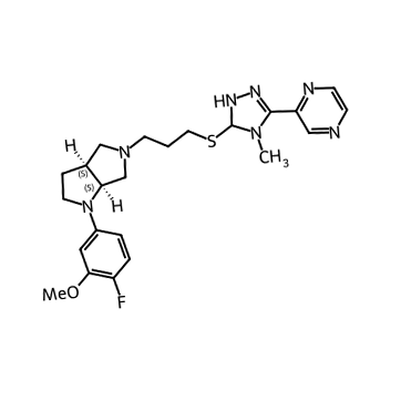 COc1cc(N2CC[C@H]3CN(CCCSC4NN=C(c5cnccn5)N4C)C[C@H]32)ccc1F